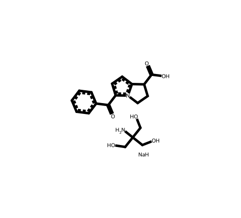 NC(CO)(CO)CO.O=C(c1ccccc1)c1ccc2n1CCC2C(=O)O.[NaH]